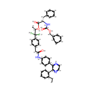 CCc1ccccc1-c1nccnc1-c1ccc(NC(=O)Cc2ccc(C(F)(F)[C@@H](C)OC(=O)[C@H](Cc3ccccc3)NC(=O)OCc3ccccc3)cc2)cc1